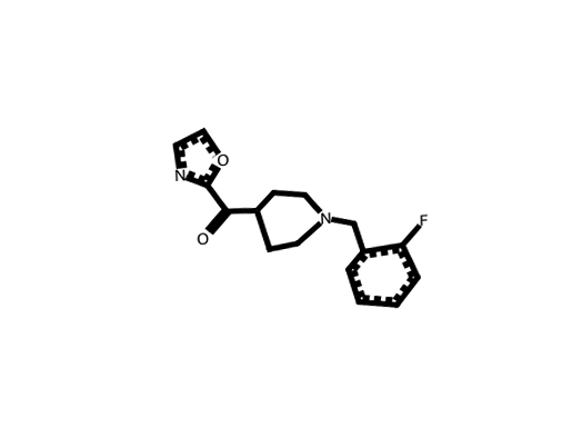 O=C(c1ncco1)C1CCN(Cc2ccccc2F)CC1